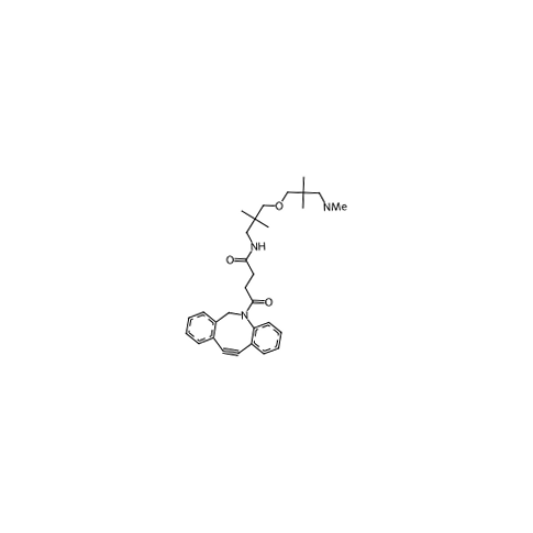 CNCC(C)(C)COCC(C)(C)CNC(=O)CCC(=O)N1Cc2ccccc2C#Cc2ccccc21